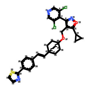 Clc1cncc(Cl)c1-c1noc(C2CC2)c1COC12CCC(/C=C/c3ccc(-c4nccs4)cc3)(CC1)CC2